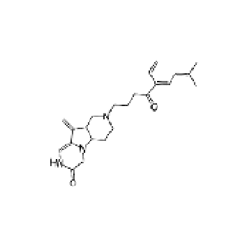 C=C/C(=C\C=C(C)C)C(=O)CCCN1CCC2C(C1)C(=C)C1=CNC(=O)CN12